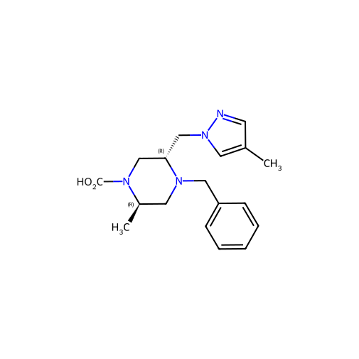 Cc1cnn(C[C@H]2CN(C(=O)O)[C@H](C)CN2Cc2ccccc2)c1